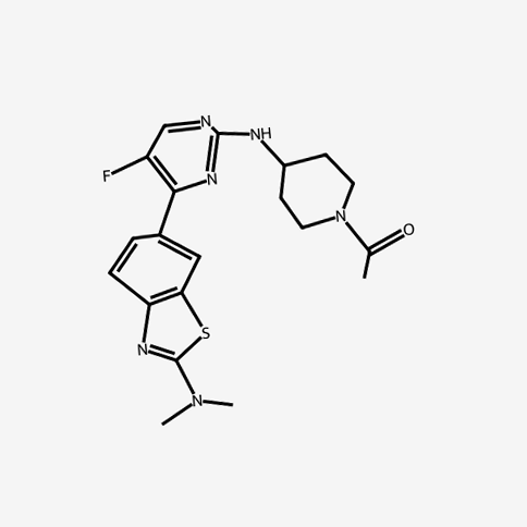 CC(=O)N1CCC(Nc2ncc(F)c(-c3ccc4nc(N(C)C)sc4c3)n2)CC1